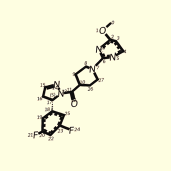 COc1ccnc(N2CCC(C(=O)N3N=CC[C@H]3c3cc(F)cc(F)c3)CC2)n1